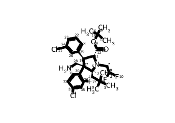 CC(C)(C)C[C@@H]1N(CC(F)F)[C@@H](C(=O)OC(C)(C)C)[C@H](c2cccc(Cl)c2)[C@@]1(CN)c1ccc(Cl)cc1F